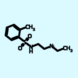 CC[N]CCNS(=O)(=O)c1ccccc1C